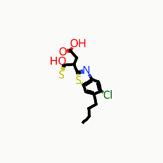 CCCCc1cc2sc(C(CC(=O)O)C(O)=S)nc2cc1Cl